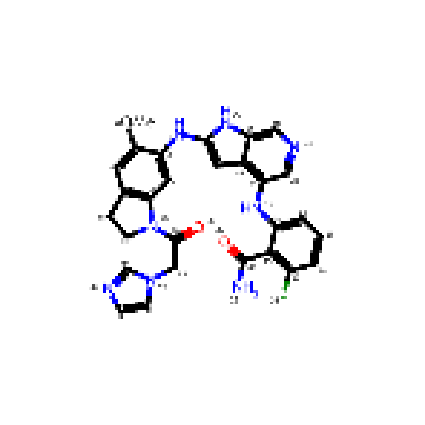 COc1cc2c(cc1Nc1cc3c(Nc4cccc(F)c4C(N)=O)cncc3[nH]1)N(C(=O)Cn1ccnc1)CC2